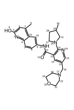 Cc1cc(O)nc2ccc(NC(=O)c3cc(CN4CCOCC4)cnc3N3CCC(C)C3)cc12